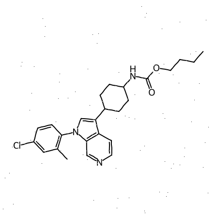 CCCCOC(=O)NC1CCC(c2cn(-c3ccc(Cl)cc3C)c3cnccc23)CC1